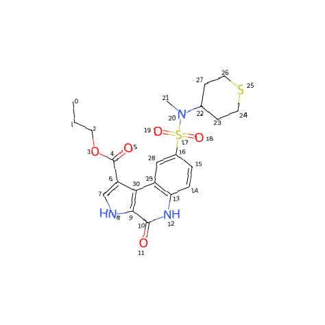 CCCOC(=O)c1c[nH]c2c(=O)[nH]c3ccc(S(=O)(=O)N(C)C4CCSCC4)cc3c12